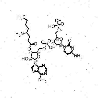 C=CCCC(N)CCC(=O)O[C@H]1[C@@H](O)[C@H](n2cnc3c(N)ncnc32)O[C@@H]1COP(=O)(O)O[C@H]1C[C@H](n2ccc(N)nc2=O)O[C@@H]1COP(=O)(O)O